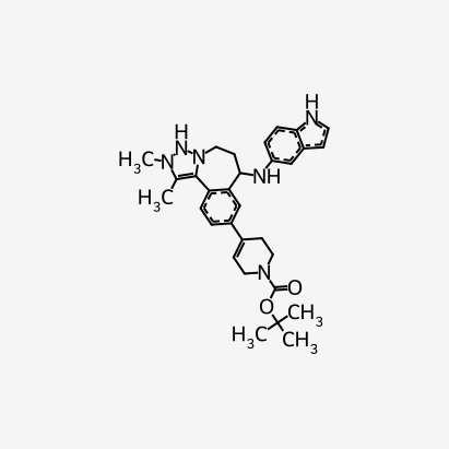 CC1=C2c3ccc(C4=CCN(C(=O)OC(C)(C)C)CC4)cc3C(Nc3ccc4[nH]ccc4c3)CCN2NN1C